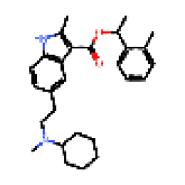 Cc1ccccc1C(C)OC(=O)c1c(C)[nH]c2ccc(CCN(C)C3CCCCC3)cc12